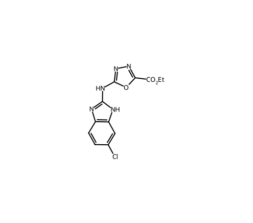 CCOC(=O)c1nnc(Nc2nc3ccc(Cl)cc3[nH]2)o1